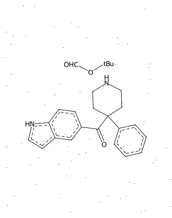 CC(C)(C)OC=O.O=C(c1ccc2[nH]ccc2c1)C1(c2ccccc2)CCNCC1